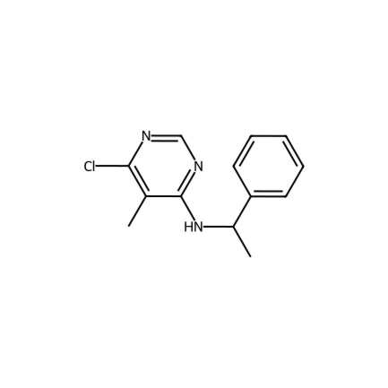 Cc1c(Cl)ncnc1NC(C)c1ccccc1